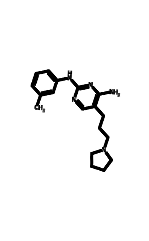 Cc1cccc(Nc2ncc(CCCN3CCCC3)c(N)n2)c1